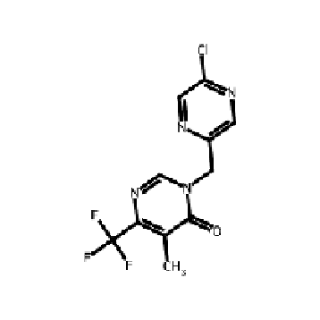 Cc1c(C(F)(F)F)ncn(Cc2cnc(Cl)cn2)c1=O